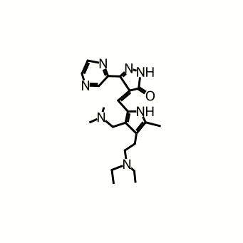 CCN(CC)CCc1c(C)[nH]c(C=C2C(=O)NN=C2c2cnccn2)c1CN(C)C